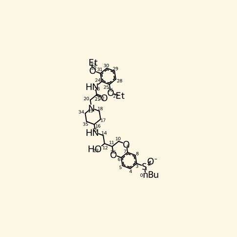 CCCC[S+]([O-])c1ccc2c(c1)OCC(C(O)CNC1CCN(CC(=O)Nc3c(OCC)cccc3OCC)CC1)O2